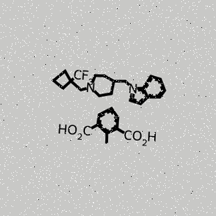 Cc1c(C(=O)O)cccc1C(=O)O.FC(F)(F)C1(CN2CCC(Cn3ccc4ccccc43)CC2)CCC1